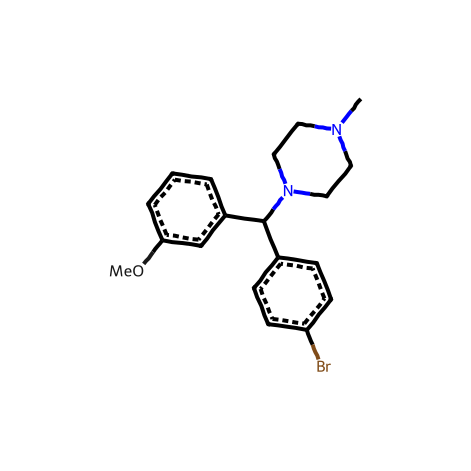 COc1cccc(C(c2ccc(Br)cc2)N2CCN(C)CC2)c1